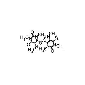 CN1CN(N2CN(C)c3c2n(C)c(=O)n(C)c3=O)c2c1c(=O)n(C)c(=O)n2C